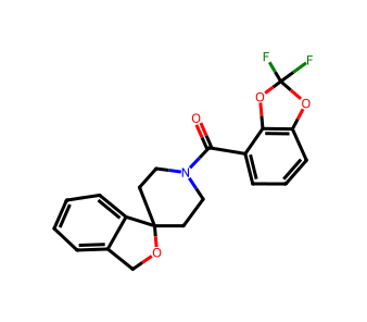 O=C(c1cccc2c1OC(F)(F)O2)N1CCC2(CC1)OCc1ccccc12